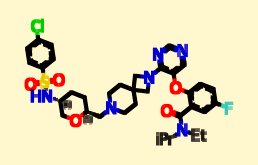 CCN(C(=O)c1cc(F)ccc1Oc1cncnc1N1CC2(CCN(C[C@@H]3CC[C@@H](NS(=O)(=O)c4ccc(Cl)cc4)CO3)CC2)C1)C(C)C